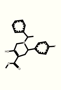 COC(=O)C1=C(O)CN(C(C)c2ccccc2)C(c2ccc(F)cc2)C1